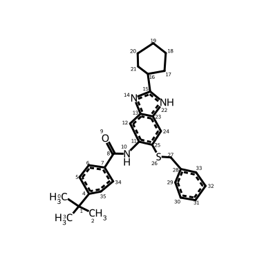 CC(C)(C)c1ccc(C(=O)Nc2cc3nc(C4CCCCC4)[nH]c3cc2SCc2ccccc2)cc1